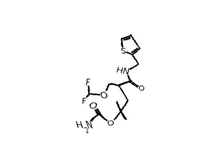 CC(C)(CC(COC(F)F)C(=O)NCc1cccs1)OC(N)=O